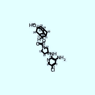 Nc1cc(Cl)cnc1N[C@@H]1CCN(C(=O)O[C@H]2C3CC4CC2C[C@](O)(C4)C3)C1